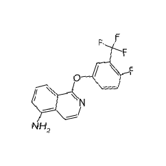 Nc1cccc2c(Oc3ccc(F)c(C(F)(F)F)c3)nccc12